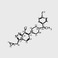 C[C@H](c1ccc(F)cc1)N1CCN(c2ccn3c(CC4CC4)nnc3c2Cl)CC1